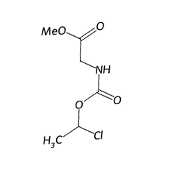 COC(=O)CNC(=O)OC(C)Cl